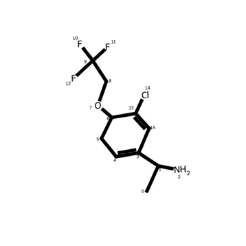 CC(N)C1=CCC(OCC(F)(F)F)C(Cl)=C1